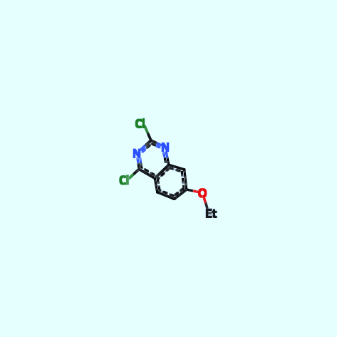 CCOc1ccc2c(Cl)nc(Cl)nc2c1